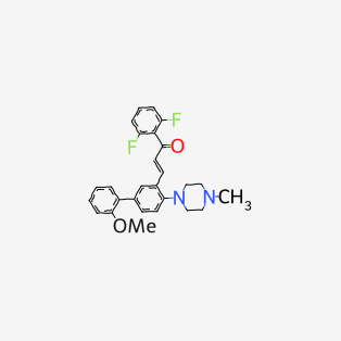 COc1ccccc1-c1ccc(N2CCN(C)CC2)c(C=CC(=O)c2c(F)cccc2F)c1